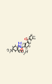 O=C(Nc1ccc([N+](=O)[O-])cc1C(=O)O)c1cccc(C(=O)c2ccccc2)c1